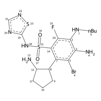 CCCCNc1c(N)c(Br)c(C2CCCC2N)c(S(=O)(=O)Nc2ncns2)c1F